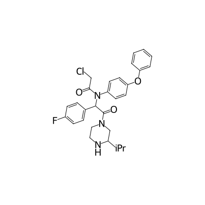 CC(C)C1CN(C(=O)C(c2ccc(F)cc2)N(C(=O)CCl)c2ccc(Oc3ccccc3)cc2)CCN1